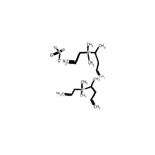 C=CCC(C)[N+](C)(C)CC=C.C=CCC(C)[N+](C)(C)CC=C.O=S(=O)([O-])[O-]